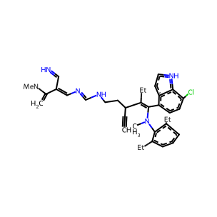 C#CC(CCN/C=N/C=C(\C=N)C(=C)NC)/C(CC)=C(/c1ccc(Cl)c2[nH]ccc12)N(C)c1c(CC)cccc1CC